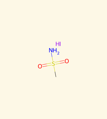 CS(N)(=O)=O.I